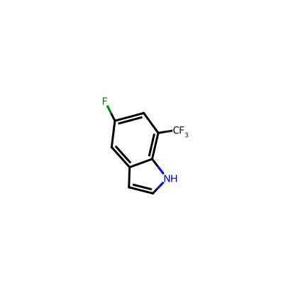 Fc1cc(C(F)(F)F)c2[nH]ccc2c1